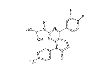 CCN(c1nc(-c2ccc(F)c(F)c2)c2ccc(=O)n(-c3ccc(C(F)(F)F)cc3)c2n1)C(O)O